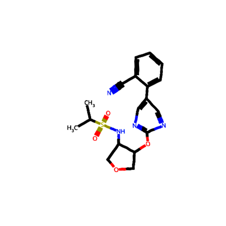 CC(C)S(=O)(=O)NC1COCC1Oc1ncc(-c2ccccc2C#N)cn1